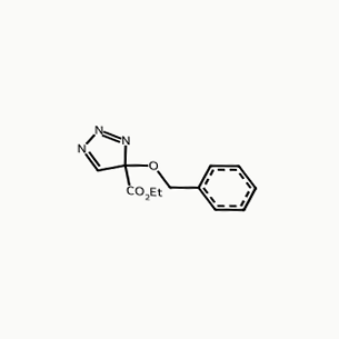 CCOC(=O)C1(OCc2ccccc2)C=NN=N1